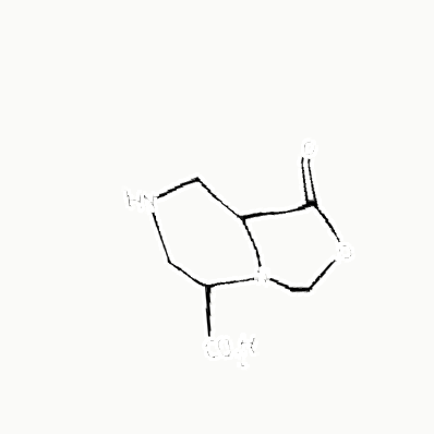 O=C(O)C1CNCC2C(=O)OCN12